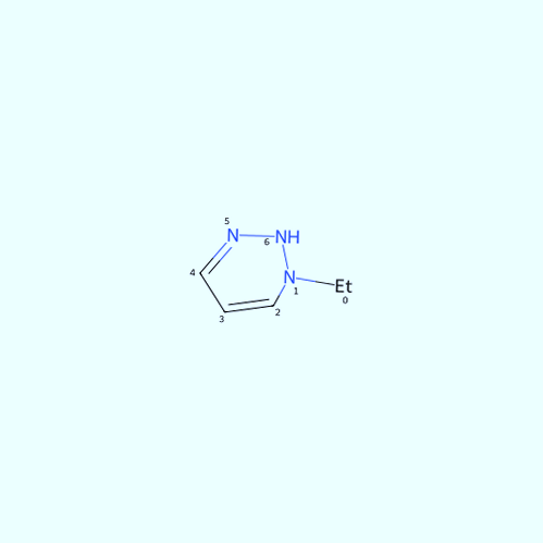 CCN1C=CC=NN1